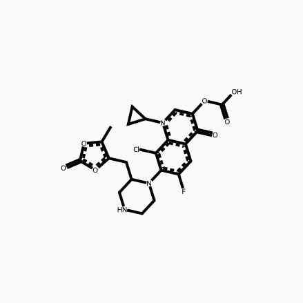 Cc1oc(=O)oc1CC1CNCCN1c1c(F)cc2c(=O)c(OC(=O)O)cn(C3CC3)c2c1Cl